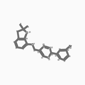 CC1(C)Cc2cccc(OCC3=COC(c4cccc(Br)c4)N=N3)c2O1